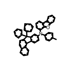 Cc1ccc(N(c2ccc3c(c2)C(c2ccccc2)(c2ccccc2)c2ccc4ccccc4c2-3)c2cccc3c2oc2ccccc23)cc1